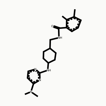 Cc1cccc(C(=O)NCC2CCC(Nc3nccc(N(C)C)n3)CC2)c1C